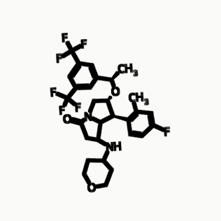 Cc1cc(F)ccc1[C@H]1C2C(NC3CCOCC3)CC(=O)N2C[C@@H]1O[C@H](C)c1cc(C(F)(F)F)cc(C(F)(F)F)c1